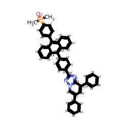 CP(C)(=O)c1ccc(-c2c3ccccc3c(-c3ccc(-c4nc5c(-c6ccccc6)cc(-c6ccccc6)cn5n4)cc3)c3ccccc23)cc1